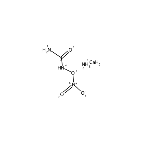 N.NC(=O)NO[N+](=O)[O-].[CaH2]